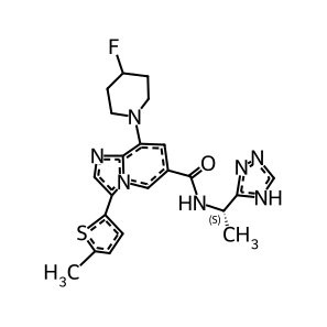 Cc1ccc(-c2cnc3c(N4CCC(F)CC4)cc(C(=O)N[C@@H](C)c4nnc[nH]4)cn23)s1